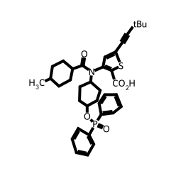 CC1CCC(C(=O)N(c2cc(C#CC(C)(C)C)sc2C(=O)O)C2CCC(OP(=O)(c3ccccc3)c3ccccc3)CC2)CC1